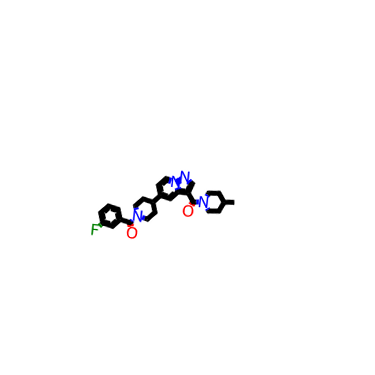 CC1CCN(C(=O)c2cnn3ccc(C4CCN(C(=O)c5cccc(F)c5)CC4)cc23)CC1